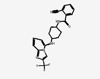 N#Cc1ccccc1C(=O)NC1CCC(Nc2cccc3nc(C(F)(F)F)cn23)CC1